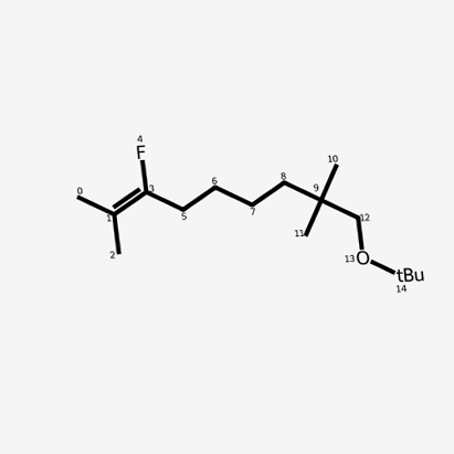 CC(C)=C(F)CCCCC(C)(C)COC(C)(C)C